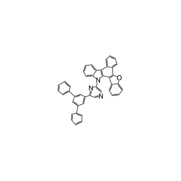 c1ccc(-c2cc(-c3ccccc3)cc(-c3cncc(-n4c5ccccc5c5c6ccccc6c6oc7ccccc7c6c54)n3)c2)cc1